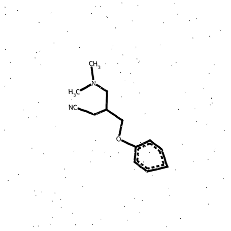 CN(C)CC(CC#N)COc1ccccc1